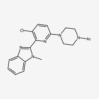 CC(=O)N1CCN(c2ccc(Cl)c(-c3nc4ccccc4n3C)n2)CC1